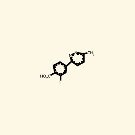 Cc1ccc(-c2ccc(C(=O)O)c(F)c2)nn1